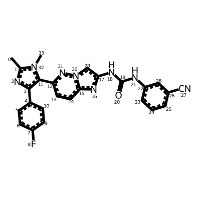 Cc1nc(-c2ccc(F)cc2)c(-c2ccc3nc(NC(=O)Nc4cccc(C#N)c4)cn3n2)n1C